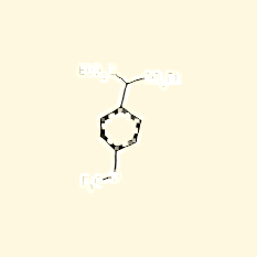 CCOC(=O)C(C(=O)OCC)c1ccc(OC(F)(F)F)cc1